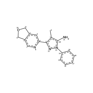 Cc1c(-c2cc3c(cn2)COC3)nn(-c2ccccc2)c1N